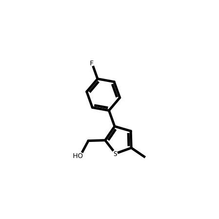 Cc1cc(-c2ccc(F)cc2)c(CO)s1